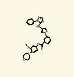 COc1cc(NC(=O)c2cccc(-n3cc(Nc4nnnn4-c4ccccc4)cn3)c2)ccc1N1CCOCC1